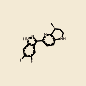 C[C@H]1CCNc2ccc(-c3n[nH]c4cc(F)c(F)cc34)nc21